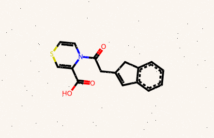 O=C(O)C1=CSC=CN1C(=O)CC1=Cc2ccccc2C1